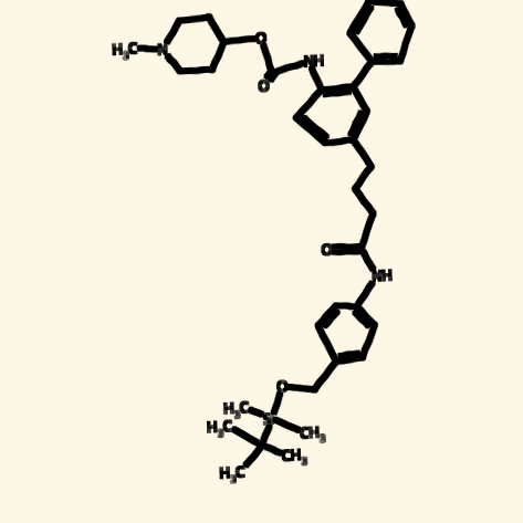 CN1CCC(OC(=O)Nc2ccc(CCCC(=O)Nc3ccc(CO[Si](C)(C)C(C)(C)C)cc3)cc2-c2ccccc2)CC1